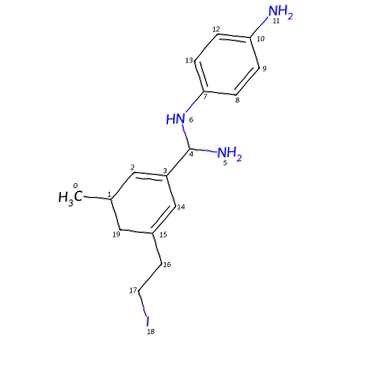 CC1C=C(C(N)Nc2ccc(N)cc2)C=C(CCI)C1